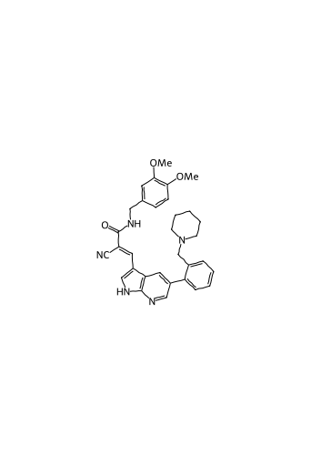 COc1ccc(CNC(=O)/C(C#N)=C/c2c[nH]c3ncc(-c4ccccc4CN4CCCCC4)cc23)cc1OC